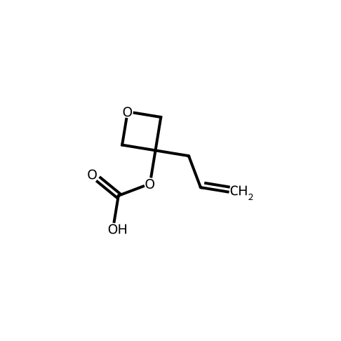 C=CCC1(OC(=O)O)COC1